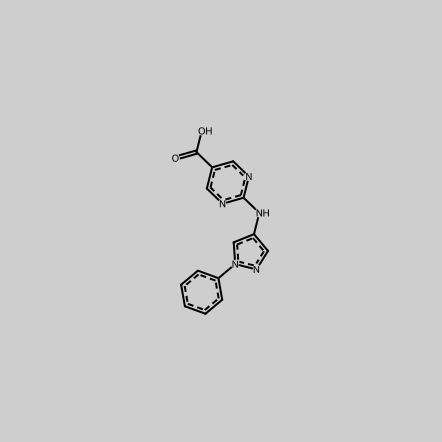 O=C(O)c1cnc(Nc2cnn(-c3ccccc3)c2)nc1